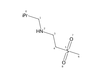 CC(C)CNCCS(C)(=O)=O